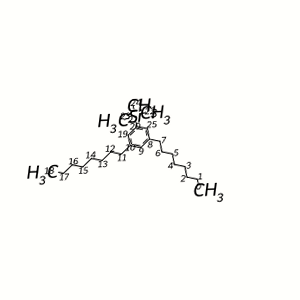 CCCCCCCCc1cc(CCCCCCCC)cc([Si](C)(C)C)c1